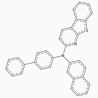 c1ccc(-c2ccc(N(c3ccc4ccccc4c3)c3ccc4c(n3)sc3ccccc34)cc2)cc1